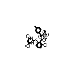 COc1cc(OC)nc(Sc2cccc(Cl)c2C(=O)OC(c2ccc(C)cc2)P(=O)(OC)OC)n1